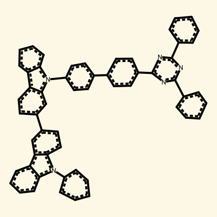 c1ccc(-c2nc(-c3ccccc3)nc(-c3ccc(-c4ccc(-n5c6ccccc6c6ccc(-c7ccc8c(c7)c7ccccc7n8-c7ccccc7)cc65)cc4)cc3)n2)cc1